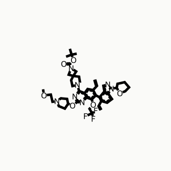 C=Cc1cc2c(N3CCC4(CC3)CN(C(=O)OC(C)(C)C)C4)nc(OC3CCN(CCOC)CC3)nc2c(OCC(F)(F)F)c1-c1c(C=C)ccc2c1cnn2C1CCCCO1